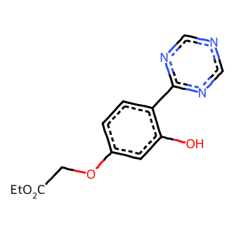 CCOC(=O)COc1ccc(-c2ncncn2)c(O)c1